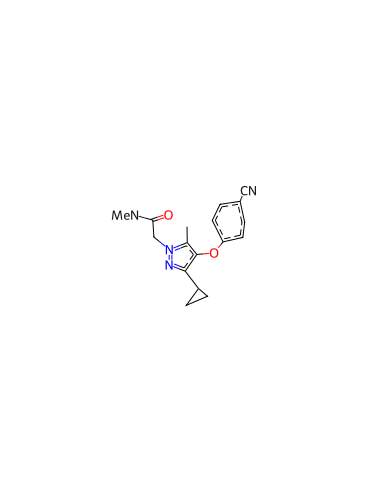 CNC(=O)Cn1nc(C2CC2)c(Oc2ccc(C#N)cc2)c1C